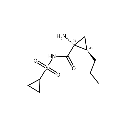 CCC[C@@H]1C[C@]1(N)C(=O)NS(=O)(=O)C1CC1